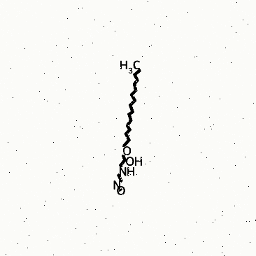 CCCCCCCCCCCCCCCCCOCC(O)CNCCN=O